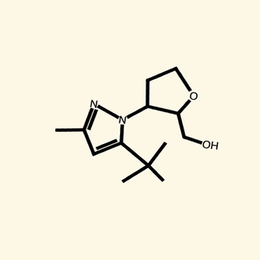 Cc1cc(C(C)(C)C)n(C2CCOC2CO)n1